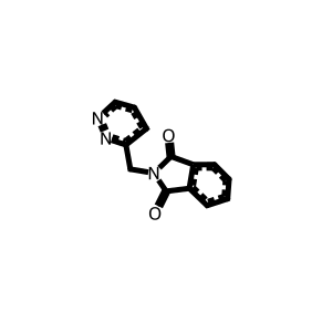 O=C1c2ccccc2C(=O)N1Cc1cccnn1